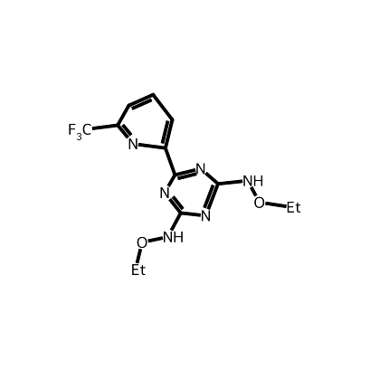 CCONc1nc(NOCC)nc(-c2cccc(C(F)(F)F)n2)n1